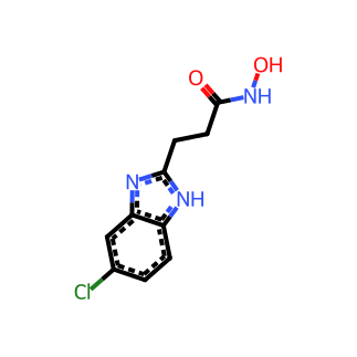 O=C(CCc1nc2cc(Cl)ccc2[nH]1)NO